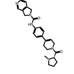 CN1CCC[C@@H]1C(=O)N1CC=C(c2ccc(NC(=O)N3Cc4ccncc4C3)cc2)CC1